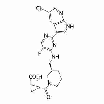 O=C(O)C1C[C@H]1C(=O)N1CCC[C@H](CNc2nc(-c3c[nH]c4ncc(Cl)cc34)ncc2F)C1